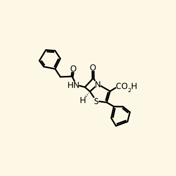 O=C(Cc1ccccc1)NC1C(=O)N2C(C(=O)O)=C(c3ccccc3)S[C@@H]12